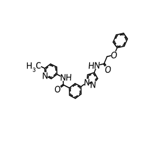 Cc1ccc(NC(=O)c2cccc(-n3cc(NC(=O)COc4ccccc4)cn3)c2)cn1